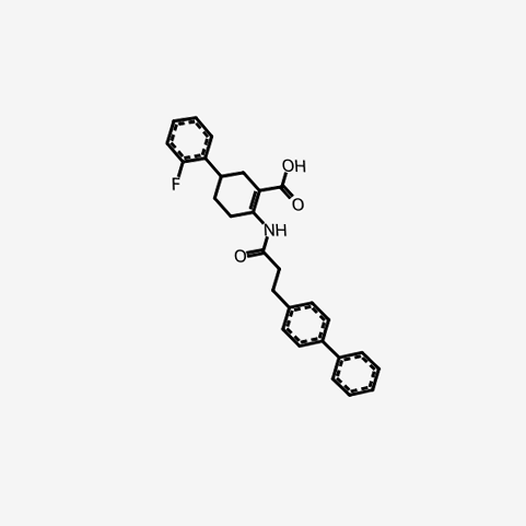 O=C(CCc1ccc(-c2ccccc2)cc1)NC1=C(C(=O)O)CC(c2ccccc2F)CC1